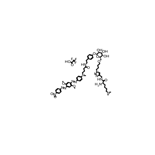 COc1cc(/N=N/c2ccc([N+](=O)[O-])cc2)c(OC)cc1/N=N/c1ccc(N(C)CCCC(=O)NCCc2ccc(O[C@@H]3O[C@H](COCCCCn4cc(CNC(=O)[C@@H](N)CCCCN(C)C)nn4)[C@@H](O)[C@H](O)[C@H]3O)cc2)cc1.O=C(O)C(F)(F)F